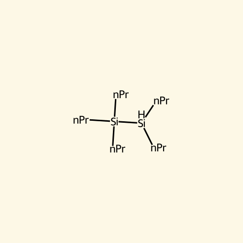 CCC[SiH](CCC)[Si](CCC)(CCC)CCC